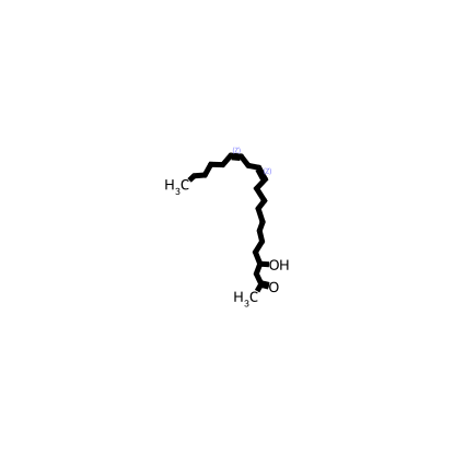 CCCCC/C=C\C/C=C\CCCCCCCC(O)CC(C)=O